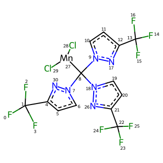 FC(F)(F)c1ccn([C](n2ccc(C(F)(F)F)n2)(n2ccc(C(F)(F)F)n2)[Mn]([Cl])[Cl])n1